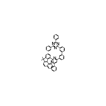 CC1(C)c2cccc(-c3nc(-c4ccccc4)cc(-c4cccc(-c5cccc(-c6nc(-c7ccccc7)nc(-c7ccccc7)n6)c5)c4)n3)c2-c2c1ccc1ccccc21